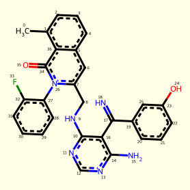 Cc1cccc2cc(CNc3ncnc(N)c3C(=N)c3cccc(O)c3)n(-c3ccccc3F)c(=O)c12